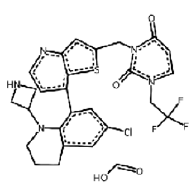 O=CO.O=c1ccn(CC(F)(F)F)c(=O)n1Cc1cc2nccc(-c3cc(Cl)cc4c3N(C3CNC3)CCC4)c2s1